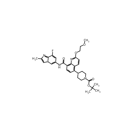 COCCOc1ccc2c(N3CCN(C(=O)OC(C)(C)C)CC3)ccc(C(=O)Nc3cc(F)c4nc(C)cn4c3)c2n1